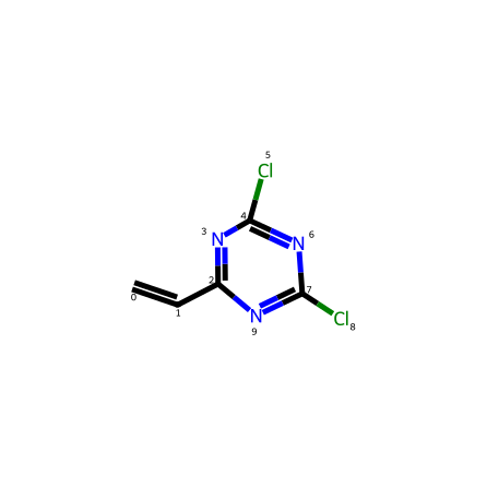 C=Cc1nc(Cl)nc(Cl)n1